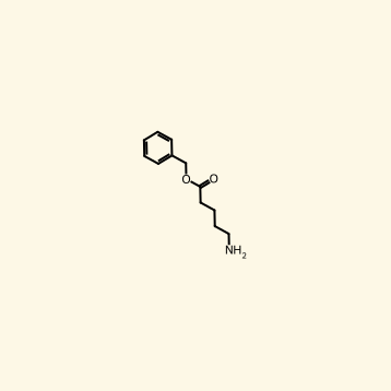 NCCCCC(=O)OCc1ccccc1